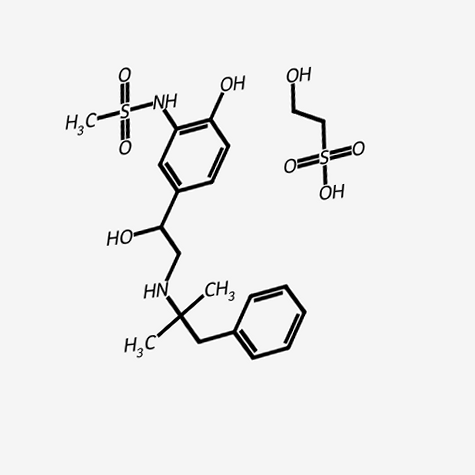 CC(C)(Cc1ccccc1)NCC(O)c1ccc(O)c(NS(C)(=O)=O)c1.O=S(=O)(O)CCO